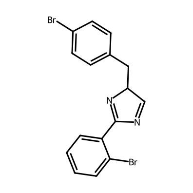 Brc1ccc(CC2C=NC(c3ccccc3Br)=N2)cc1